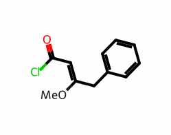 COC(=CC(=O)Cl)Cc1ccccc1